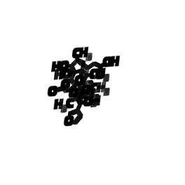 CCC12OC3(C)OC14C(C(C)(C)C(O)c1ccoc1)CC(=O)OC4C1(O)C(O)C4(C)CC1(O3)C2(C)C4CC(=O)O